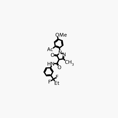 CCC(F)(F)c1cccc(NC(=O)C2C(=O)N(c3ccc(OC)cc3C(C)=O)N=C2C)c1